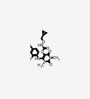 Cn1c(Nc2ccc(I)cc2F)c(OC(=O)NOCC2CC2)c(=O)n(C)c1=O